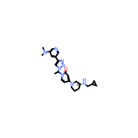 CC(n1cc(-c2cncc(N(C)C)c2)nn1)n1ccc(N2CCC[C@@H](NCC3CC3)C2)cc1=O